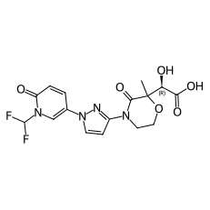 CC1([C@@H](O)C(=O)O)OCCN(c2ccn(-c3ccc(=O)n(C(F)F)c3)n2)C1=O